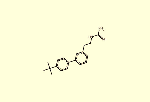 CC(C)(C)c1ccc(-c2cccc(CCNC(=N)N)c2)cc1